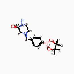 CC1(C)OB(c2ccc(CN3CCNC(=O)C3)cc2)OC1(C)C